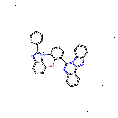 c1ccc(-c2nc3cccc4c3n2-c2cccc(-c3nc5ccccc5c5nc6ccccc6n35)c2O4)cc1